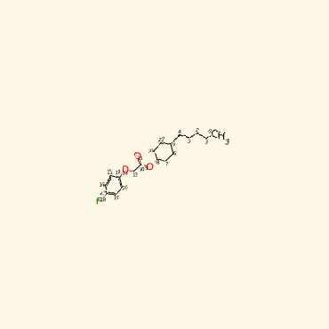 CCCCC[C@H]1CC[C@H](OC(=O)COc2ccc(F)cc2)CC1